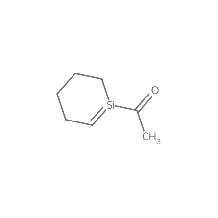 CC(=O)[Si]1=CCCCC1